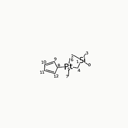 C[Si](C)(C)[CH2][Pt]([CH3])([CH3])[CH]1C=CC=C1